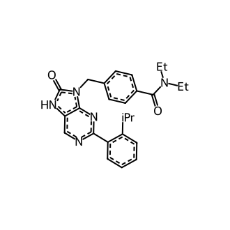 CCN(CC)C(=O)c1ccc(Cn2c(=O)[nH]c3cnc(-c4ccccc4C(C)C)nc32)cc1